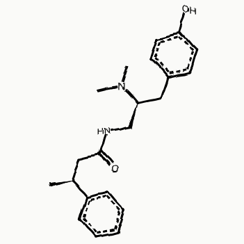 C[C@@H](CC(=O)NC[C@H](Cc1ccc(O)cc1)N(C)C)c1ccccc1